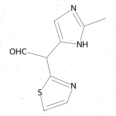 Cc1ncc(C(C=O)c2nccs2)[nH]1